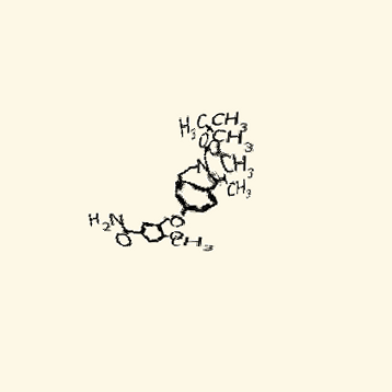 COc1ccc(C(N)=O)cc1COc1ccc2c(c1)CCN(C(=O)OC(C)(C)C)[C@H]2C(C)C